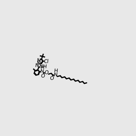 CCCCCCCCCCCCCCNC(=O)CCOC(=O)Nc1cccc(C)c1-c1nn2nc(C(C)(C)C)c(Cl)c2[nH]1